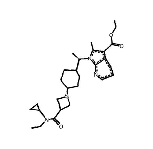 CCOC(=O)c1c(C)n([C@H](C)C2CCC(N3CC(C(=O)N(CC)C4CC4)C3)CC2)c2ncccc12